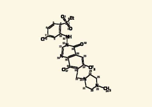 CCS(=O)(=O)c1ccc(Cl)cc1Nn1cnc2c(Cl)c(CN3CCN(C)CC3)c(C(F)(F)F)cc2c1=O